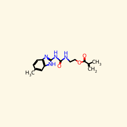 C=C(C)C(=O)OCCNC(=O)Nc1nc2ccc(C)cc2[nH]1